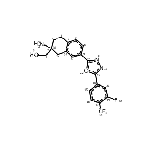 N[C@@]1(CO)CCc2ccc(-c3nnc(-c4ccc(C(F)(F)F)c(F)c4)o3)cc2C1